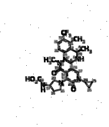 Cc1c([C@@H](C)Nc2nn(C)c(=O)c3c(N4CCC(NC(=O)O)C4)c(=O)n(C4CC4)cc23)cccc1C(F)(F)F